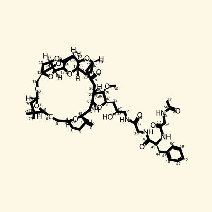 C=C1CC[C@@H]2CC[C@@H]3O[C@@H](CC[C@@]45C[C@H]6OC7C(O[C@H]8CC[C@H](CC(=O)C[C@@H]9[C@@H](OC)[C@@H](C[C@H](O)CNC(=O)CNC(=O)[C@H](Cc%10ccccc%10)NC(=O)CNC(C)=O)O[C@H]9C[C@H]1O2)O[C@@H]8[C@@H]7O4)[C@H]6O5)CC3(C)C